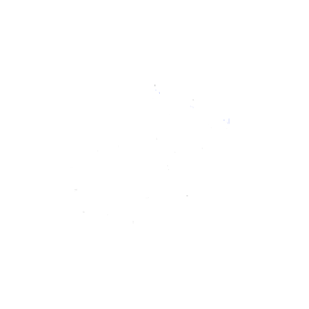 CC(c1cc(N)nc(N)c1)C1CCCCCCCCC1